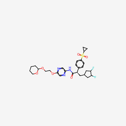 O=C(Nc1cnc(OCCOC2CCCCO2)cn1)[C@H](CC1CC(F)C(F)C1)c1ccc(S(=O)(=O)C2CC2)cc1